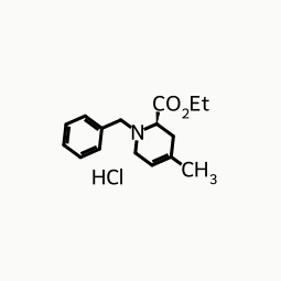 CCOC(=O)[C@H]1CC(C)=CCN1Cc1ccccc1.Cl